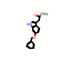 COC(=O)Cc1c[nH]c2cc(OCc3ccccc3)ccc12